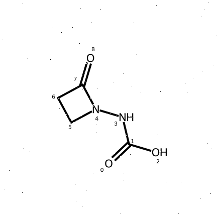 O=C(O)NN1CCC1=O